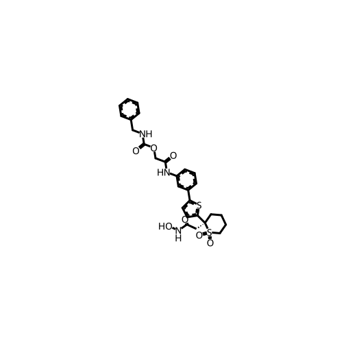 O=C(C[C@]1(c2ccc(-c3cccc(NC(=O)COC(=O)NCc4ccccc4)c3)s2)CCCCS1(=O)=O)NO